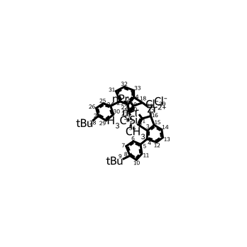 CCCC1=C2c3c(-c4ccc(C(C)(C)C)cc4)cccc3[CH]1[Zr+2][CH]1C(CCC)=C(c3c(-c4ccc(C(C)(C)C)cc4)cccc31)[Si]2(C)C.[Cl-].[Cl-]